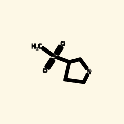 CS(=O)(=O)C1CC[N]C1